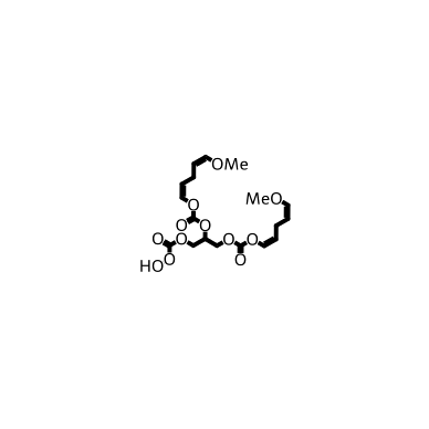 CO/C=C\C/C=C\OC(=O)OCC(COC(=O)OO)OC(=O)O/C=C\C/C=C\OC